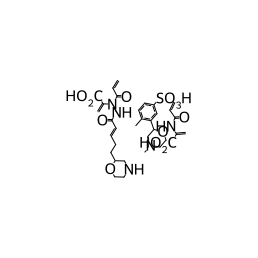 C=CC(=O)N(NC(=O)C=CCCC1CNCCO1)C(=C)C(=O)O.C=CC(=O)NC(=C)C(=O)O.Cc1ccc(S(=O)(=O)O)cc1C1CN(C)CCO1